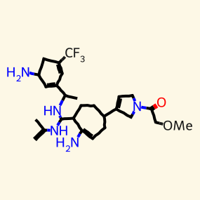 C=C(C)NC(NC(C)C1=CC(N)CC(C(F)(F)F)=C1)C1CCC(C2=CCN(C(=O)COC)C2)CC=C1N